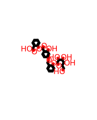 O=C(Oc1ccccc1C(=O)O)c1ccc(OCc2ccccc2OC2OC(CO)C(O)C(O)C2O)cc1O